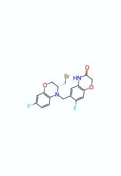 O=C1COc2cc(F)c(CN3c4ccc(F)cc4OC[C@@H]3CBr)cc2N1